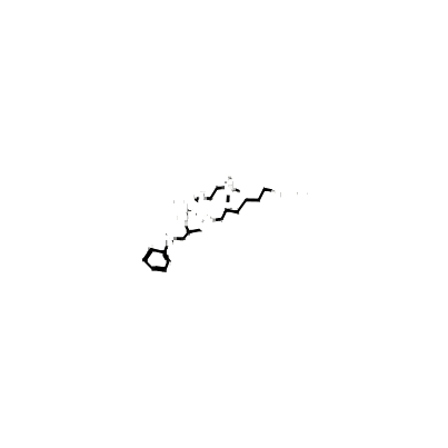 CCCCCCCCCCCCCCCCOCC(CNc1ccccc1)OP(=O)([O-])OCC[N+](C)(C)C